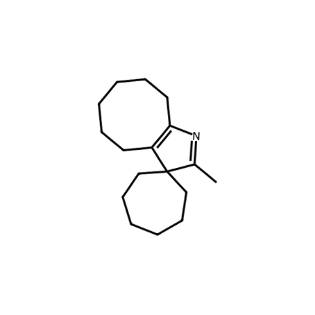 CC1=NC2=C(CCCCCC2)C12CCCCCC2